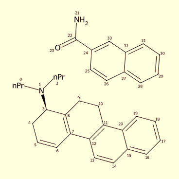 CCCN(CCC)[C@@H]1CC=CC2=C1CCc1c2ccc2ccccc12.NC(=O)c1ccc2ccccc2c1